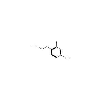 Cc1cc(C(C)(C)C)ccc1CCC=O